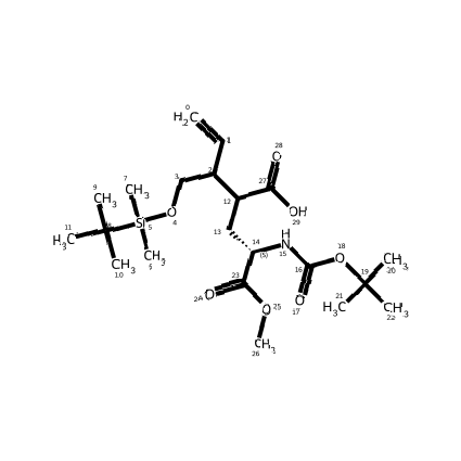 C=CC(CO[Si](C)(C)C(C)(C)C)C(C[C@H](NC(=O)OC(C)(C)C)C(=O)OC)C(=O)O